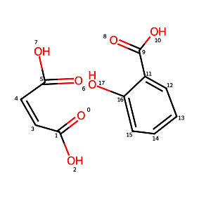 O=C(O)/C=C\C(=O)O.O=C(O)c1ccccc1O